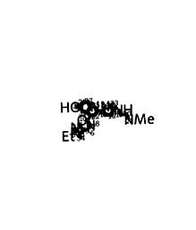 CCn1ncc([C@@H](C)N(C)C(=O)c2cc(-c3ccc(NCCNC)c(C)n3)nc3ccc(O)cc23)c1C